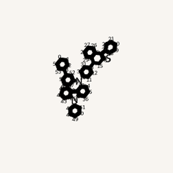 c1ccc(-c2cccc(N(c3ccc(C4Cc5sc6ccccc6c5-c5ccccc54)cc3)c3cccc4c3c3ccccc3n4-c3ccccc3)c2)cc1